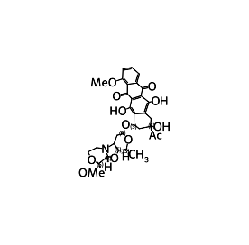 COc1cccc2c1C(=O)c1c(O)c3c(c(O)c1C2=O)C[C@@](O)(C(C)=O)C[C@@H]3O[C@H]1CC2[C@H](O[C@@H]3[C@@H](OC)OCCN23)[C@H](C)O1